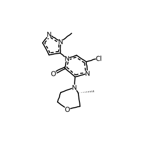 C[C@@H]1COCCN1c1nc(Cl)cn(-c2ccnn2C)c1=O